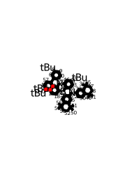 CC(C)(C)c1ccc(-c2cc(C(C)(C)C)ccc2N2c3cc(C(C)(C)C)ccc3B3c4cc5c(cc4N(c4ccc6c(c4)C(C)(C)CCC6(C)C)c4cc(C(C)(C)C)cc2c43)C(C)(C)CCC5(C)C)cc1